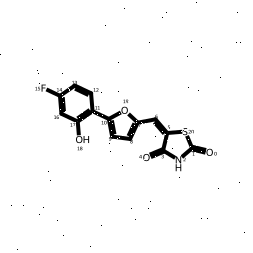 O=C1NC(=O)/C(=C\c2ccc(-c3ccc(F)cc3O)o2)S1